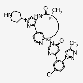 C[C@@H]1CCCC[C@H](n2cnc(-c3cc(Cl)ccc3-n3cc(C(F)(F)F)nn3)cc2=O)c2cc(ccn2)-c2nn(C3CCNCC3)cc2NC1=O